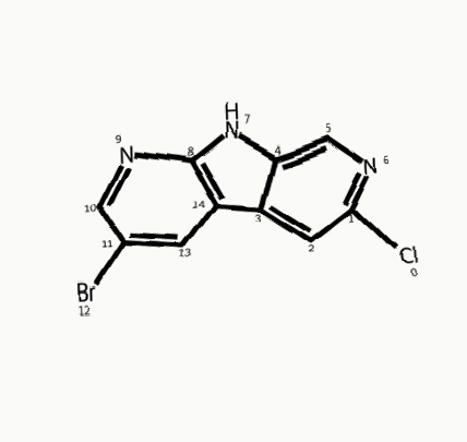 Clc1cc2c(cn1)[nH]c1ncc(Br)cc12